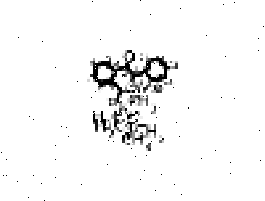 COC(C(=O)c1ccccc1CC[Si](C)(C)O[Si](C)(C)C)c1ccccc1